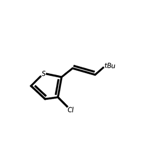 CC(C)(C)/C=C/c1sccc1Cl